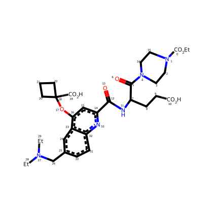 CCOC(=O)N1CCN(C(=O)C(CCC(=O)O)NC(=O)c2cc(OC3(C(=O)O)CCC3)c3cc(CN(CC)CC)ccc3n2)CC1